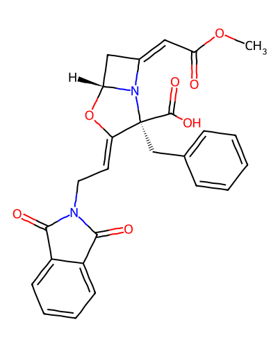 COC(=O)/C=C1/C[C@H]2O/C(=C\CN3C(=O)c4ccccc4C3=O)[C@](Cc3ccccc3)(C(=O)O)N12